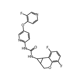 O=C(Nc1ccc(Oc2ccncc2F)cn1)NC1C2COc3c(F)ccc(F)c3C21